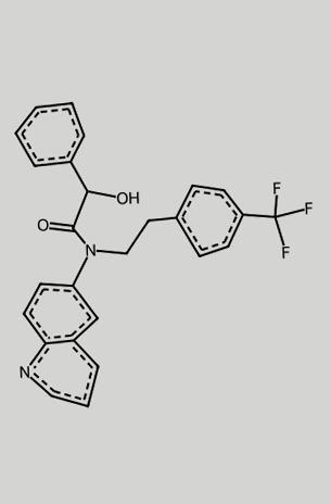 O=C(C(O)c1ccccc1)N(CCc1ccc(C(F)(F)F)cc1)c1ccc2ncccc2c1